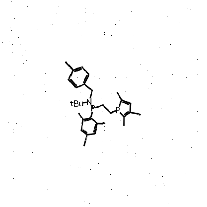 Cc1ccc(CN(P(CCp2c(C)cc(C)c2C)c2c(C)cc(C)cc2C)C(C)(C)C)cc1